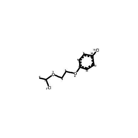 CC(Cl)OCCOc1ccc(Cl)cc1